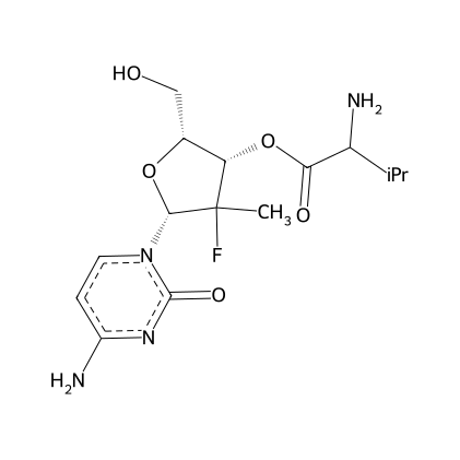 CC(C)C(N)C(=O)O[C@H]1[C@@H](CO)O[C@@H](n2ccc(N)nc2=O)C1(C)F